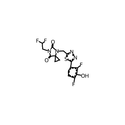 O=C1N(CC(F)F)C(=O)C2(CC2)N1Cc1nnc(-c2ccc(F)c(O)c2F)s1